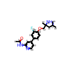 CC(=O)Nc1cc(-c2ccc(OCC(C)(N)CC(C)C)c(F)c2)ccn1